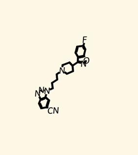 N#Cc1ccc2nnn(CCCCN3CCC(c4noc5cc(F)ccc45)CC3)c2c1